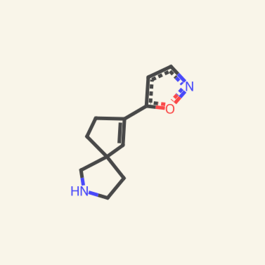 C1=C(c2ccno2)CCC12CCNC2